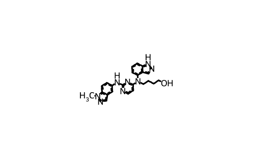 Cn1ncc2cc(Nc3nccc(N(CCCCO)c4cccc5[nH]ncc45)n3)ccc21